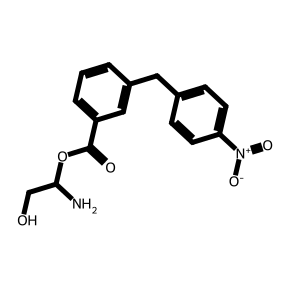 NC(CO)OC(=O)c1cccc(Cc2ccc([N+](=O)[O-])cc2)c1